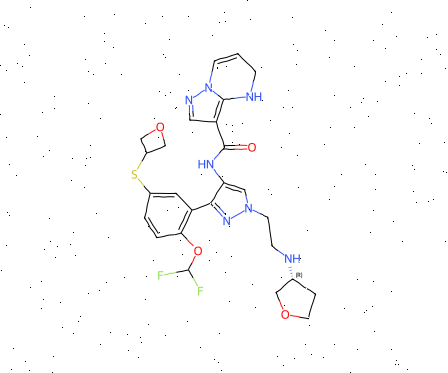 O=C(Nc1cn(CCN[C@@H]2CCOC2)nc1-c1cc(SC2COC2)ccc1OC(F)F)c1cnn2c1NCC=C2